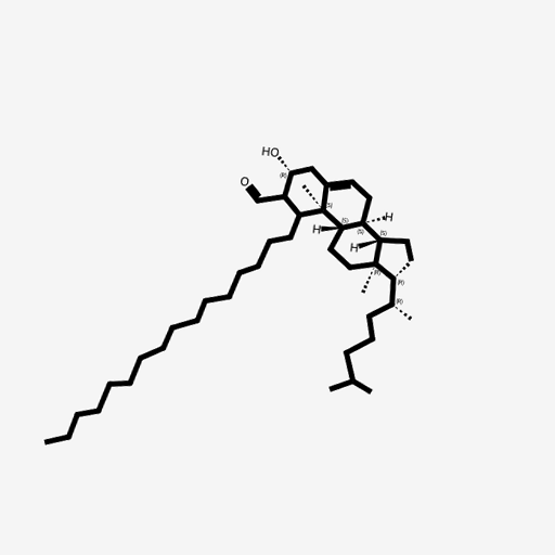 CCCCCCCCCCCCCCCCC1C(C=O)[C@H](O)CC2=CC[C@H]3[C@@H]4CC[C@H]([C@H](C)CCCC(C)C)[C@@]4(C)CC[C@@H]3[C@]21C